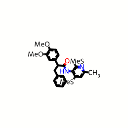 COc1ccc(C(Cc2ccccc2)C(=O)Nc2c(SC)cc(C)nc2SC)cc1OC